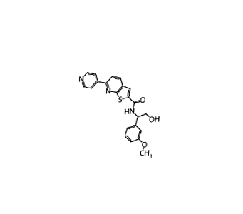 COc1cccc(C(CO)NC(=O)c2cc3ccc(-c4ccncc4)nc3s2)c1